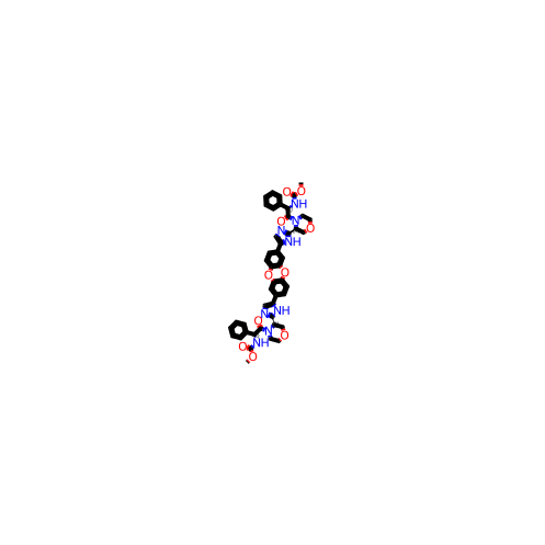 COC(=O)N[C@@H](C(=O)N1CCOC[C@H]1c1ncc(-c2ccc3c(c2)Oc2ccc(-c4cnc([C@@H]5COCCN5C(=O)[C@H](NC(=O)OC)c5ccccc5)[nH]4)cc2O3)[nH]1)c1ccccc1